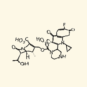 CC(O)[C@H]1C(=O)N2C(C(=O)O)=C(COC(=O)N3CCNCC3c3c(C(=O)O)c(=O)c4c(n3C3CC3)CC(=O)C(F)=C4)[C@H](C)[C@H]12